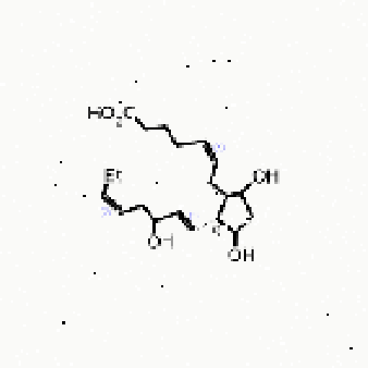 CC/C=C\CC(O)/C=C/[C@H]1C(O)CC(O)C1C/C=C\CCCC(=O)O